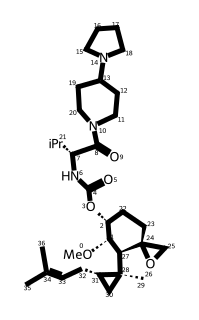 CO[C@@H]1[C@H](OC(=O)N[C@@H](C(=O)N2CCC(N3CCCC3)CC2)C(C)C)CC[C@]2(CO2)[C@H]1[C@@]1(C)C[C@@H]1CC=C(C)C